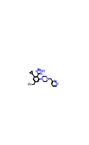 CC(C)Cc1cc(C2CC2)c(-c2nn[nH]n2)c(N2CCN(Cc3cccnn3)CC2)c1